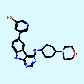 Oc1cncc(-c2ccc3[nH]c4ncnc(NC5CCC(N6CCOCC6)CC5)c4c3c2)c1